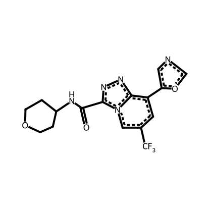 O=C(NC1CCOCC1)c1nnc2c(-c3cnco3)cc(C(F)(F)F)cn12